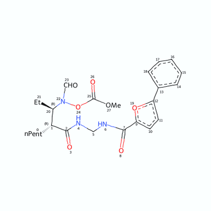 CCCCC[C@@H](C(=O)NCNC(=O)c1ccc(-c2ccccc2)o1)[C@@H](CC)N(C=O)OC(=O)OC